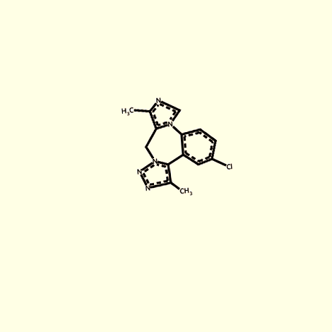 Cc1ncn2c1Cn1nnc(C)c1-c1cc(Cl)ccc1-2